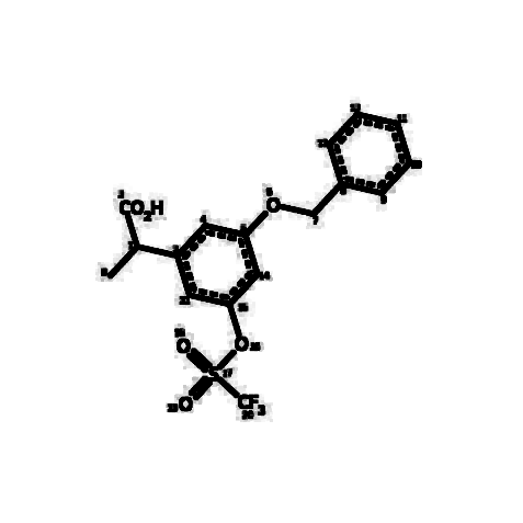 CC(C(=O)O)c1cc(OCc2ccccc2)cc(OS(=O)(=O)C(F)(F)F)c1